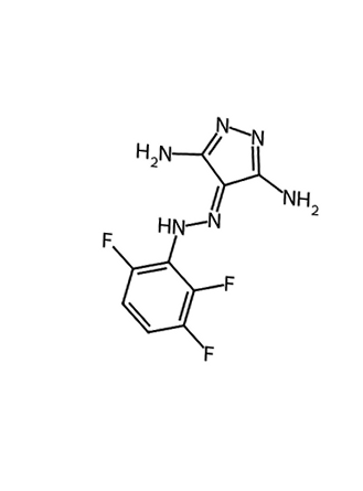 NC1=NN=C(N)C1=NNc1c(F)ccc(F)c1F